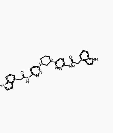 O=C(Cc1cccc2[nH]ccc12)Nc1ccc([C@@H]2CCC[C@@H](c3ccc(NC(=O)Cc4cccc5[nH]ccc45)nn3)C2)nn1